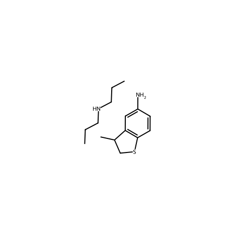 CC1CSc2ccc(N)cc21.CCCNCCC